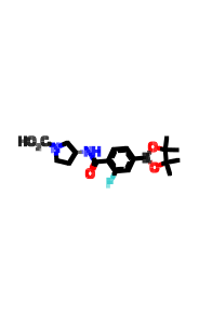 CC1(C)OB(c2ccc(C(=O)N[C@@H]3CCN(C(=O)O)C3)c(F)c2)OC1(C)C